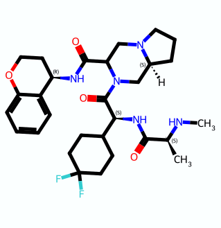 CN[C@@H](C)C(=O)N[C@H](C(=O)N1C[C@@H]2CCCN2CC1C(=O)N[C@@H]1CCOc2ccccc21)C1CCC(F)(F)CC1